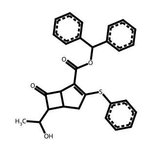 CC(O)C1C(=O)C2C(C(=O)OC(c3ccccc3)c3ccccc3)=C(Sc3ccccc3)CC21